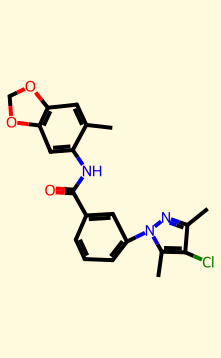 Cc1cc2c(cc1NC(=O)c1cccc(-n3nc(C)c(Cl)c3C)c1)OCO2